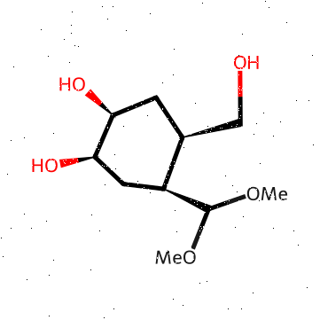 COC(OC)[C@H]1C[C@@H](O)[C@@H](O)C[C@H]1CO